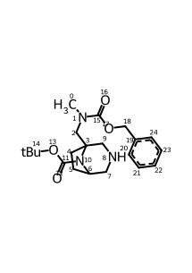 CN(CC12CCC(CNC1)N2C(=O)OC(C)(C)C)C(=O)OCc1ccccc1